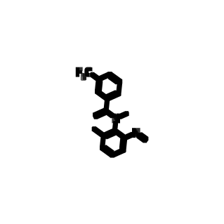 C=Nc1cccc(C)c1N(C)C(=C)c1cccc(C(F)(F)F)c1